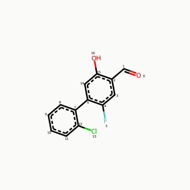 O=Cc1cc(F)c(-c2ccccc2Cl)cc1O